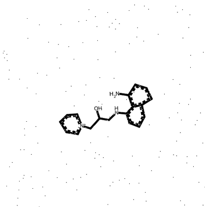 Nc1cccc2cccc(NCC(O)C[n+]3ccccc3)c12